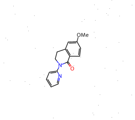 COc1ccc2c(c1)CCN(c1ccccn1)C2=O